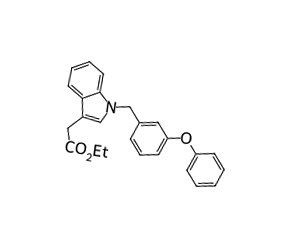 CCOC(=O)Cc1cn(Cc2cccc(Oc3ccccc3)c2)c2ccccc12